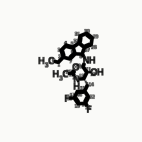 CCc1ccc2c(c1)C(NC[C@@H](O)[C@H](Cc1cc(F)cc(F)c1)NC(C)=O)c1ccccc1-2